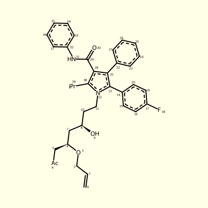 C=CCO[C@@H](CC(C)=O)C[C@H](O)CCn1c(-c2ccc(F)cc2)c(-c2ccccc2)c(C(=O)Nc2ccccc2)c1C(C)C